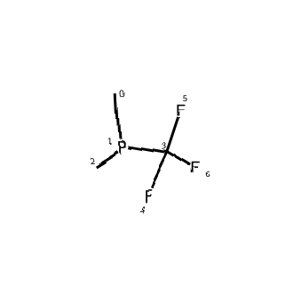 CP(C)C(F)(F)F